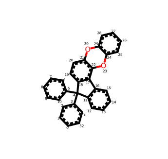 c1ccc(C2(c3ccccc3)c3ccccc3-c3c2ccc2c3Oc3ccccc3O2)cc1